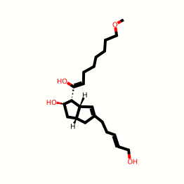 COCCCCCCC=C(O)[C@@H]1[C@@H]2C=C(CCC=CCO)C[C@@H]2C[C@H]1O